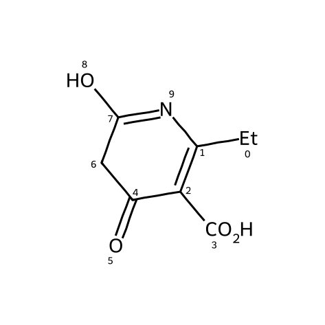 CCC1=C(C(=O)O)C(=O)CC(O)=N1